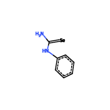 NC(=[Se])Nc1ccccc1